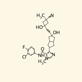 Cn1cnc(C2CC3CC(O)(C#CC4(O)CC(C)(C#N)C4)CC3C2)c1C(=O)Nc1ccc(F)c(Cl)c1